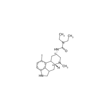 CCN(CC)C(=O)N[C@H]1CC2c3c(I)ccc4c3C(CN4)C[C@H]2N(C)C1